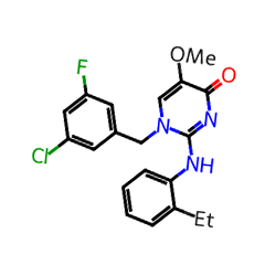 CCc1ccccc1Nc1nc(=O)c(OC)cn1Cc1cc(F)cc(Cl)c1